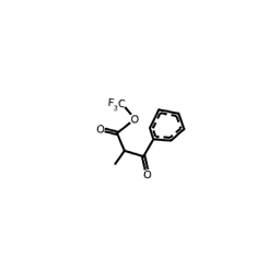 CC(C(=O)OC(F)(F)F)C(=O)c1ccccc1